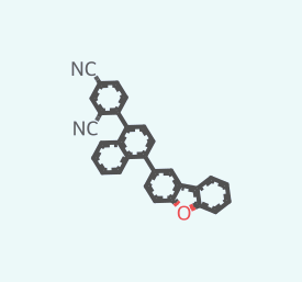 N#Cc1ccc(-c2ccc(-c3ccc4oc5ccccc5c4c3)c3ccccc23)c(C#N)c1